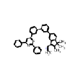 C/C=C\C1=C(C)C(C)(C)c2ccc(-c3cccc(-c4cccc(-c5cc(-c6ccccc6)nc(-c6ccccc6)n5)c4)c3)cc21